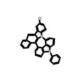 Clc1ccc2c(c1)c1cc3ccccc3c3c4cccc5c4c4c(cccc4n2c13)n5-c1ccccc1